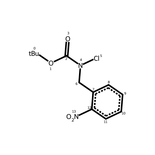 CC(C)(C)OC(=O)N(Cl)Cc1ccccc1[N+](=O)[O-]